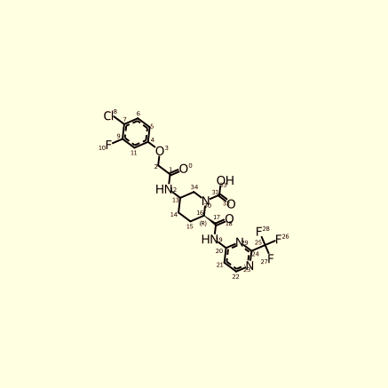 O=C(COc1ccc(Cl)c(F)c1)NC1CC[C@H](C(=O)Nc2ccnc(C(F)(F)F)n2)N(C(=O)O)C1